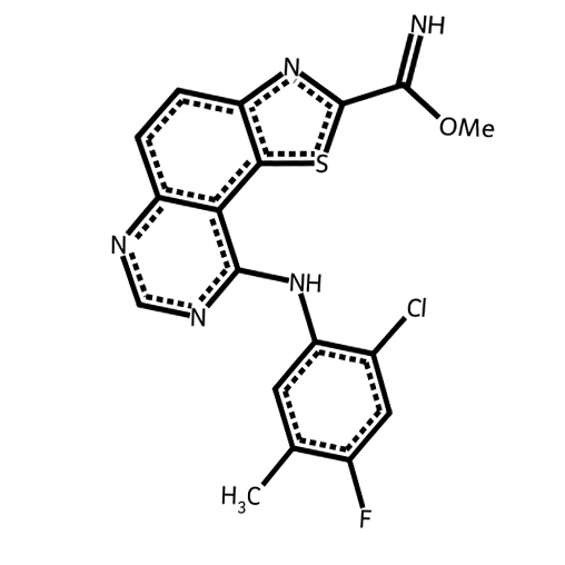 COC(=N)c1nc2ccc3ncnc(Nc4cc(C)c(F)cc4Cl)c3c2s1